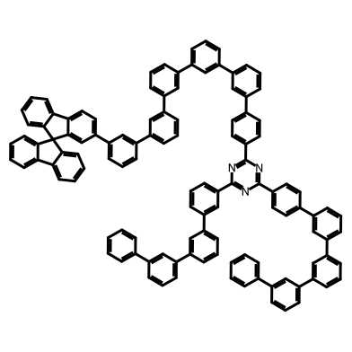 c1ccc(-c2cccc(-c3cccc(-c4cccc(-c5ccc(-c6nc(-c7ccc(-c8cccc(-c9cccc(-c%10cccc(-c%11cccc(-c%12cccc(-c%13ccc%14c(c%13)C%13(c%15ccccc%15-c%15ccccc%15%13)c%13ccccc%13-%14)c%12)c%11)c%10)c9)c8)cc7)nc(-c7cccc(-c8cccc(-c9cccc(-c%10ccccc%10)c9)c8)c7)n6)cc5)c4)c3)c2)cc1